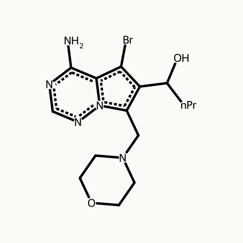 CCCC(O)c1c(Br)c2c(N)ncnn2c1CN1CCOCC1